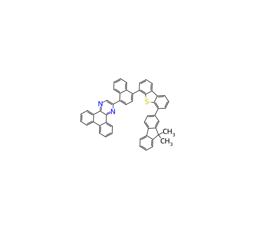 CC1(C)c2ccccc2-c2ccc(-c3cccc4c3sc3c(-c5ccc(-c6cnc7c8ccccc8c8ccccc8c7n6)c6ccccc56)cccc34)cc21